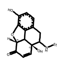 CCNC1Cc2ccc(O)c3c2C2[C@@H](O3)C(=O)C=C[C@@]12O